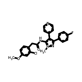 COc1ccc(CC(=O)Nc2c(-c3ccncc3)c(-c3ccc(F)cc3)nn2C)c(Cl)c1